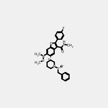 CNC(=O)c1c(-c2ccc(F)cc2)oc2cc(N(C)SC)c([C@H]3CCCN([S+]([O-])Cc4ccccc4)C3)cc12